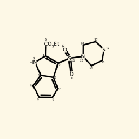 CCOC(=O)c1[nH]c2ccccc2c1S(=O)(=O)N1CCSCC1